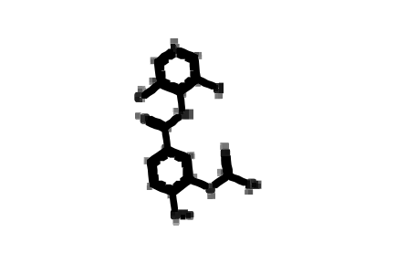 COc1ccc(C(=O)Nc2c(Cl)cncc2Cl)cc1OC(=O)C(C)(C)C